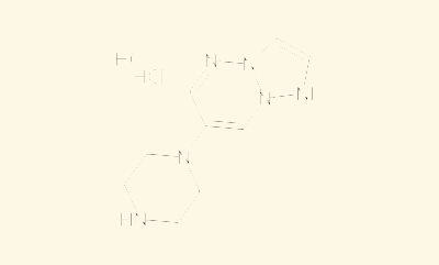 C1=CN2N=CC(N3CCNCC3)=CN2N1.Cl.Cl